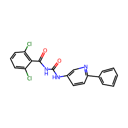 O=C(NC(=O)c1c(Cl)cccc1Cl)Nc1ccc(-c2ccccc2)nc1